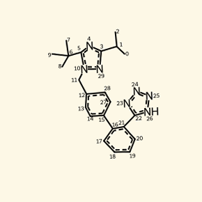 CC(C)c1nc(C(C)(C)C)n(Cc2ccc(-c3ccccc3-c3nnn[nH]3)cc2)n1